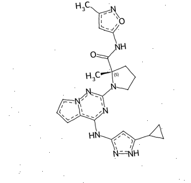 Cc1cc(NC(=O)[C@]2(C)CCCN2c2nc(Nc3cc(C4CC4)[nH]n3)c3cccn3n2)on1